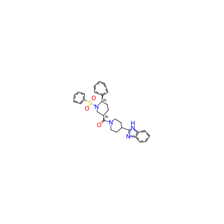 O=C([C@@H]1CC[C@H](c2ccccc2)N(S(=O)(=O)c2ccccc2)C1)N1CCC(c2nc3ccccc3[nH]2)CC1